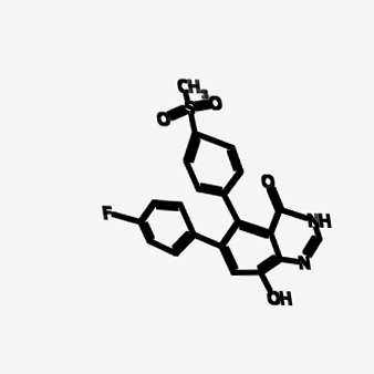 CS(=O)(=O)c1ccc(-c2c(-c3ccc(F)cc3)cc(O)c3nc[nH]c(=O)c23)cc1